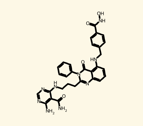 NC(=O)c1c(N)ncnc1NCCCc1nc2cccc(NCc3ccc(C(=O)NO)cc3)c2c(=O)n1-c1ccccc1